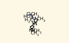 C/C(Cl)=C\C=C(/C)c1c(CC(=O)O)c(C)cc2nc(-c3ccc4nc(C)n(C)c4c3)sc12